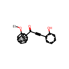 CCO[C]12[CH]3[CH]4[CH]5[C]1(C(=O)C#Cc1ccccc1O)[Fe]43521678[CH]2[CH]1[CH]6[CH]7[CH]28